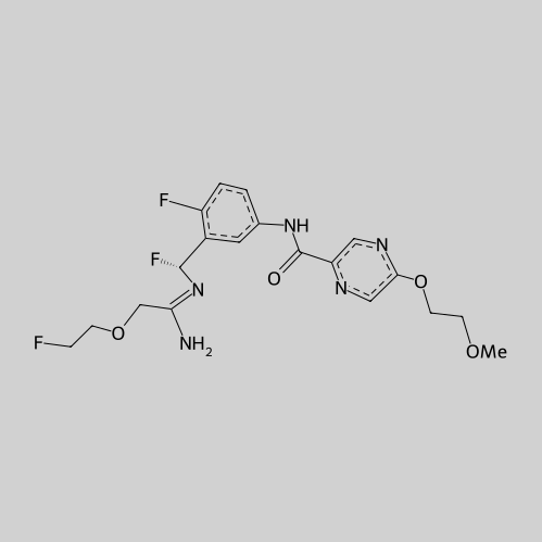 COCCOc1cnc(C(=O)Nc2ccc(F)c([C@@H](F)/N=C(/N)COCCF)c2)cn1